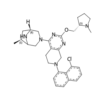 C[C@H]1C[C@@H]2CN(c3nc(OC[C@@H]4CCCN4C)nc4c3CCN(c3cccc5cccc(Cl)c35)C4)CC1N2